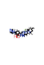 CC1C[C@@]2(C)C/C(=C/c3ncc(-c4ccc(-n5ccnc5)cc4O)nn3)[C@@H](F)[C@@](C)(C1)N2